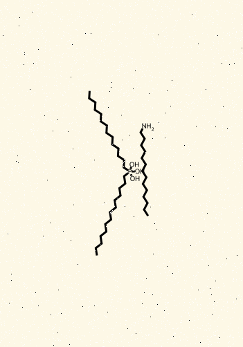 CCCCCCCCCCCCCCN.CCCCCCCCCCCCCCP(O)(O)(O)CCCCCCCCCCCCCC